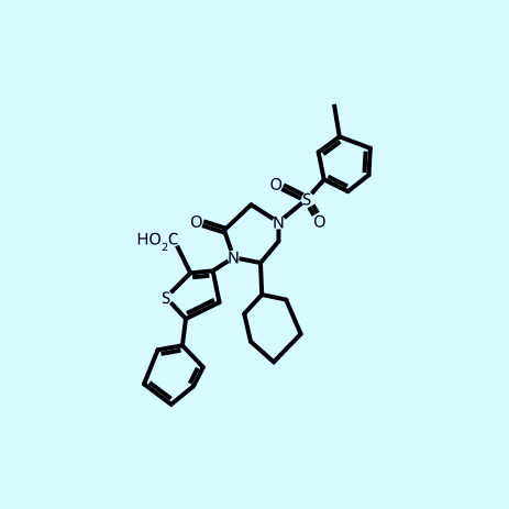 Cc1cccc(S(=O)(=O)N2CC(=O)N(c3cc(-c4ccccc4)sc3C(=O)O)C(C3CCCCC3)C2)c1